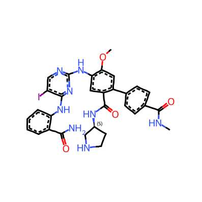 CNC(=O)c1ccc(-c2cc(OC)c(Nc3ncc(I)c(Nc4ccccc4C(N)=O)n3)cc2C(=O)N[C@H]2CCNC2)cc1